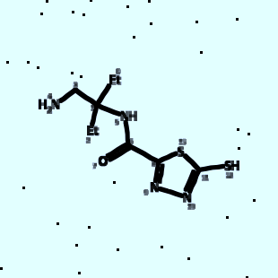 CCC(CC)(CN)NC(=O)c1nnc(S)s1